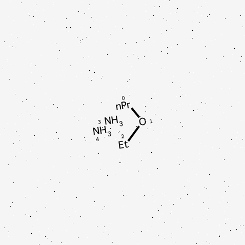 CCCOCC.N.N